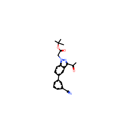 CC(=O)c1nn(CC(=O)OC(C)(C)C)c2ccc(-c3cccc(C#N)c3)cc12